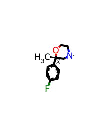 C[C@]1(c2ccc(F)cc2)C[N]CCO1